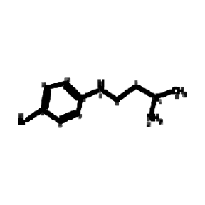 CN(N)CCNc1ccc(Br)cc1